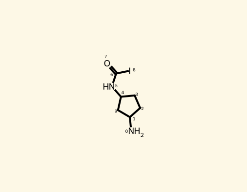 NC1CCC(NC(=O)I)C1